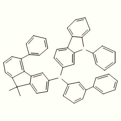 CC1(C)c2ccc(N(c3cccc(-c4ccccc4)c3)c3ccc4c5ccccc5n(-c5ccccc5)c4c3)cc2-c2c(-c3ccccc3)cccc21